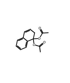 CC(=O)OC1(OC(C)=O)C[C]=Cc2ccccc21